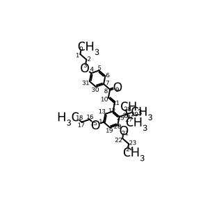 CCCOc1ccc(C(=O)C=Cc2cc(OCCC)cc(OCCC)c2C(C)(C)C)cc1